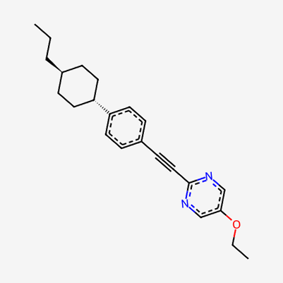 CCC[C@H]1CC[C@H](c2ccc(C#Cc3ncc(OCC)cn3)cc2)CC1